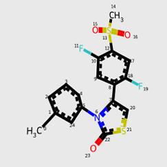 Cc1cccc(-n2c(-c3cc(F)c(S(C)(=O)=O)cc3F)csc2=O)c1